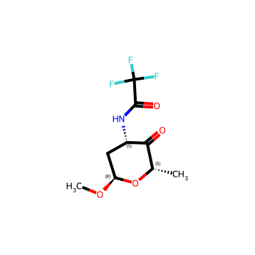 CO[C@H]1C[C@H](NC(=O)C(F)(F)F)C(=O)[C@H](C)O1